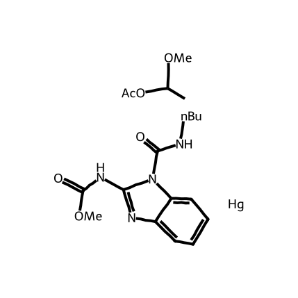 CCCCNC(=O)n1c(NC(=O)OC)nc2ccccc21.COC(C)OC(C)=O.[Hg]